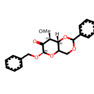 CO[C@@H]1C(=O)[C@H](OCc2ccccc2)OC2COC(c3ccccc3)O[C@H]21